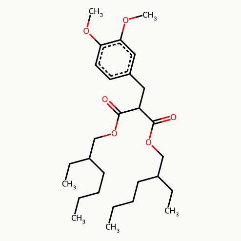 CCCCC(CC)COC(=O)C(Cc1ccc(OC)c(OC)c1)C(=O)OCC(CC)CCCC